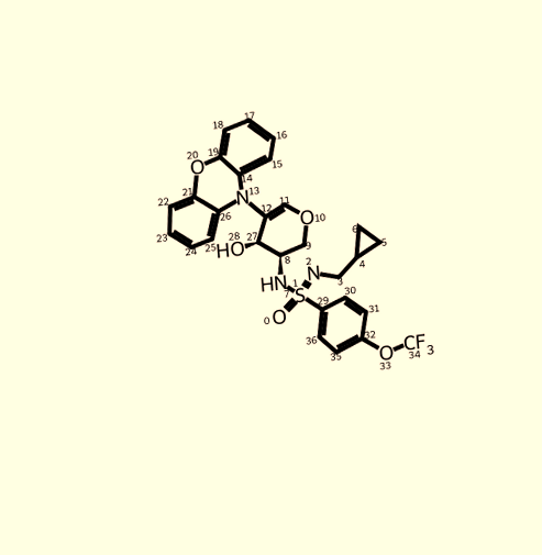 O=S(=NCC1CC1)(N[C@@H]1COC=C(N2c3ccccc3Oc3ccccc32)[C@@H]1O)c1ccc(OC(F)(F)F)cc1